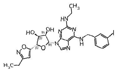 CCNc1nc(NCc2cccc(I)c2)c2ncn([C@@H]3O[C@H](c4cc(CC)no4)[C@@H](O)[C@H]3O)c2n1